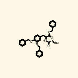 CC(C)(C)OC(=O)NC(Cc1ccc(OCc2ccccc2)c(OCc2ccccc2)c1)C(=O)OCc1ccccc1